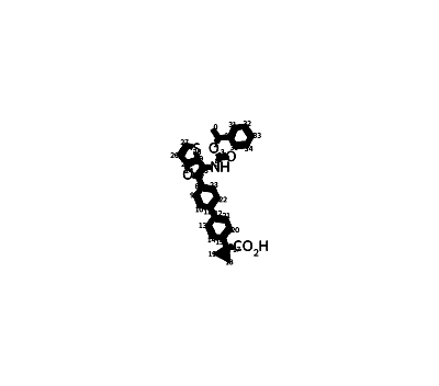 CC(OC(=O)Nc1c(-c2ccc(-c3ccc(C4(C(=O)O)CC4)cc3)cc2)oc2ccsc12)c1ccccc1